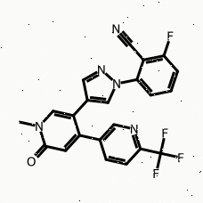 Cn1cc(-c2cnn(-c3cccc(F)c3C#N)c2)c(-c2ccc(C(F)(F)F)nc2)cc1=O